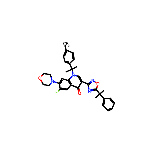 CC(C)(c1ccccc1)c1nc(-c2cn(C(C)(C)c3ccc(C(F)(F)F)cc3)c3cc(N4CCOCC4)c(F)cc3c2=O)no1